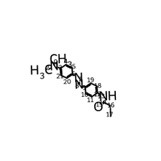 CN(C)c1ccc(N=Nc2ccc(NC(=O)CI)cc2)cc1